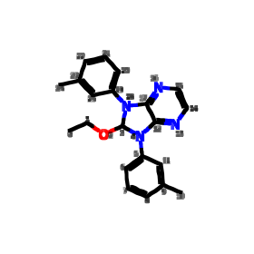 CCOC1N(c2cccc(C)c2)c2nccnc2N1c1cccc(C)c1